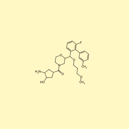 COCCCOC(c1cccc(F)c1-c1cccc(C)c1)C1CN(C(=O)C2CC(N)C(O)C2)CCO1